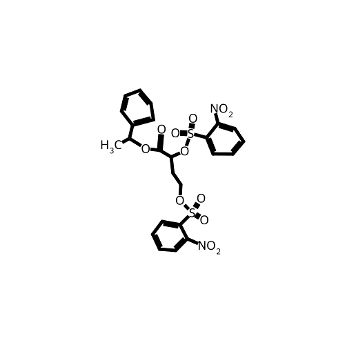 CC(OC(=O)C(CCOS(=O)(=O)c1ccccc1[N+](=O)[O-])OS(=O)(=O)c1ccccc1[N+](=O)[O-])c1ccccc1